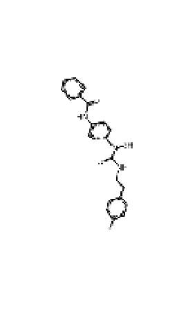 O=C(Nc1ccc(N(S)C(=O)NCCc2ccc(F)cc2)cc1)c1ccccc1